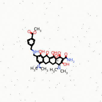 COC(=O)c1ccc(CNCc2cc(N(C)C)c3c(c2O)C(=O)C2=C(O)[C@]4(O)C(=O)C(C(N)=O)=C(O)[C@@H](N(C)C)C4CC2C3)cc1